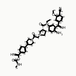 CCN(C(=O)[C@@H]1CCN(CC(=O)N2CC=C(c3ccc(C(=N)OC(=O)NC)cc3)CC2)C1)c1ccc(N)c(C(=N)c2ccc(C#N)c(OC)c2)c1